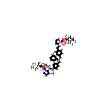 CC(C)(C)OC(=O)N1CCC[C@H]1C=Cc1ccc(CN(Cc2ccc(NC(=O)[C@@H]3CCCN3C(=O)OC(C)(C)C)cc2)c2ccccc2)cc1